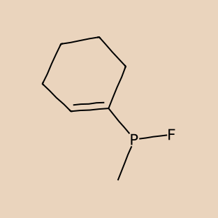 CP(F)C1=CCCCC1